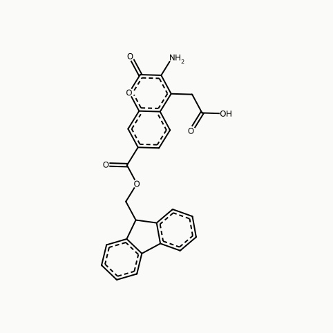 Nc1c(CC(=O)O)c2ccc(C(=O)OCC3c4ccccc4-c4ccccc43)cc2oc1=O